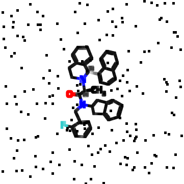 C[C@@H](C(=O)N(Cc1ccccc1F)C1Cc2ccccc2C1)N1CCc2ccccc2[C@@H]1c1cccc2ccccc12